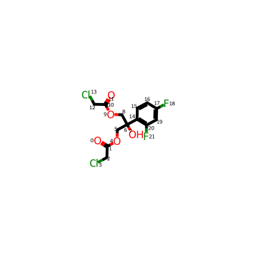 O=C(CCl)OCC(O)(COC(=O)CCl)c1ccc(F)cc1F